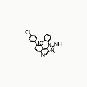 Cn1c(=N)n(-c2ccccc2O)c2c3cc(-c4ccc(Cl)cc4)ccc3ncc21